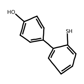 Oc1ccc(-c2ccccc2S)cc1